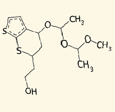 COC(C)OC(C)OC1CC(CCO)Sc2sccc21